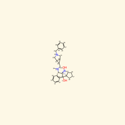 CN(C/C(=N\O)C(O)(c1ccccc1)C1CCCC1)CC1C2CN(Cc3ccccc3)CC12